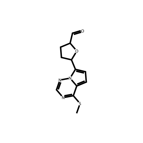 CSc1ncnn2c(C3CCC(C=O)O3)ccc12